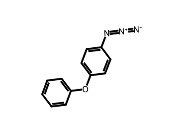 [N-]=[N+]=Nc1ccc(Oc2ccccc2)cc1